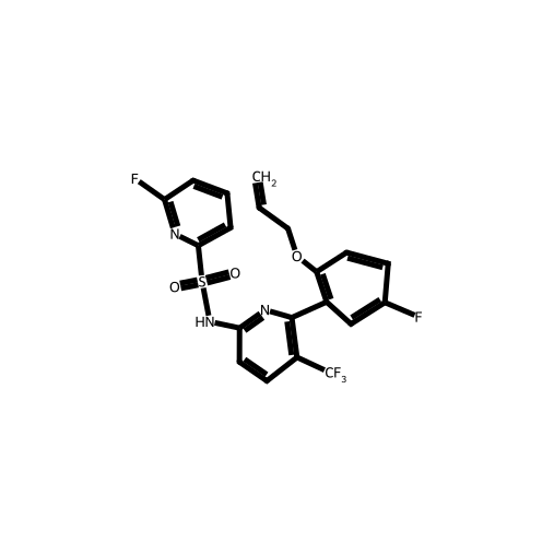 C=CCOc1ccc(F)cc1-c1nc(NS(=O)(=O)c2cccc(F)n2)ccc1C(F)(F)F